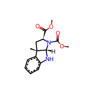 COC(=O)[C@@H]1C[C@@]2(C)c3ccccc3N[C@H]2N1C(=O)OC